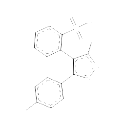 NS(=O)(=O)c1ccccc1-c1c(C(=O)O)n[nH]c1-c1ccc(Cl)cc1